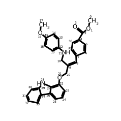 COC(=O)c1ccc(C=C(CNc2ccc(OC)cc2)COc2cccc3c2[nH]c2ccccc23)cc1